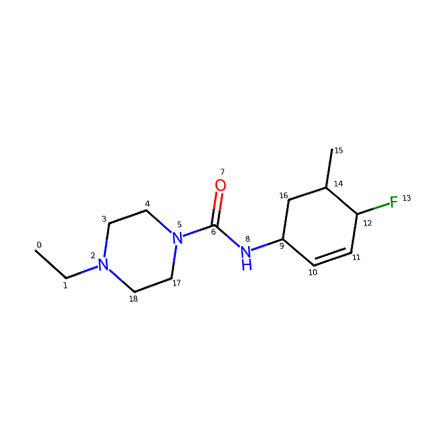 CCN1CCN(C(=O)NC2C=CC(F)C(C)C2)CC1